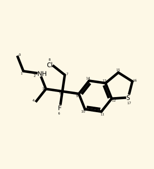 CCNC(C)C(F)(CCl)c1ccc2c(c1)CCS2